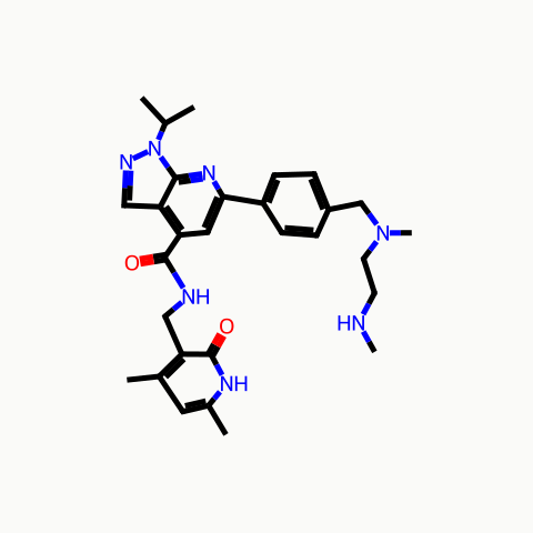 CNCCN(C)Cc1ccc(-c2cc(C(=O)NCc3c(C)cc(C)[nH]c3=O)c3cnn(C(C)C)c3n2)cc1